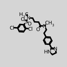 CN(CCc1ccc(C2=NCCN2)cc1)C(=O)CCCN(C)S(=O)(=O)c1cc(Cl)ccc1Cl